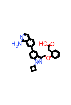 Nc1nccc2ccc(-c3ccc4c(c3)c(COc3ccccc3CC(=O)O)nn4C3CCC3)cc12